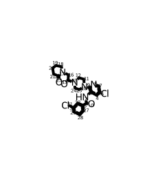 O=C(Nc1cc(Cl)cnc1N1CCN(C(=O)CN2CCCCC2=O)CC1)c1cccc(Cl)c1